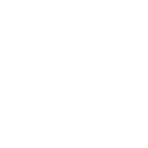 Cc1ccc(N(c2ccc(C(C)c3ccc(O)cc3)cc2)c2ccc(C(C)c3ccc(O)cc3)cc2)cc1